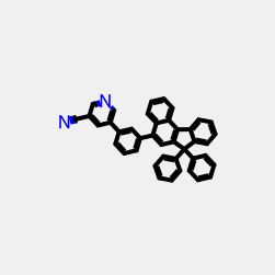 N#Cc1cncc(-c2cccc(-c3cc4c(c5ccccc35)-c3ccccc3C4(c3ccccc3)c3ccccc3)c2)c1